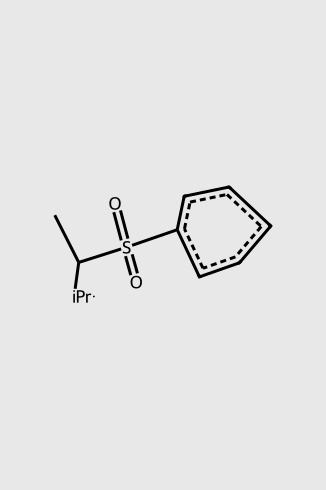 C[C](C)C(C)S(=O)(=O)c1ccccc1